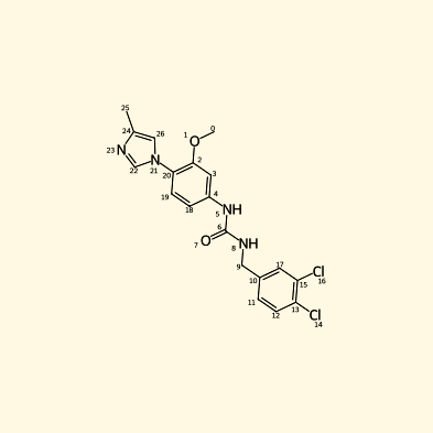 COc1cc(NC(=O)NCc2ccc(Cl)c(Cl)c2)ccc1-n1cnc(C)c1